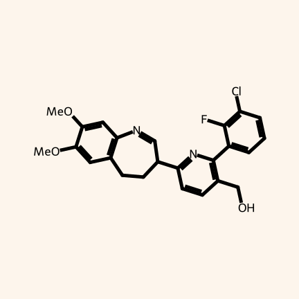 COc1cc2c(cc1OC)N=CC(c1ccc(CO)c(-c3cccc(Cl)c3F)n1)CC2